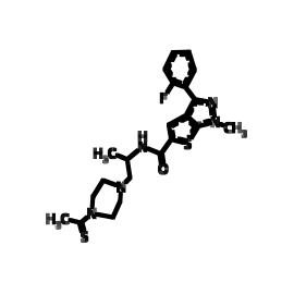 CC(=S)N1CCN(CC(C)NC(=O)c2cc3c(-c4ccccc4F)nn(C)c3s2)CC1